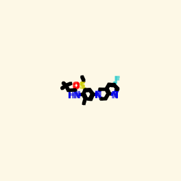 CCSc1cc(N2CCc3ncc(F)cc3C2)cc(C)c1NC(=O)CC(C)(C)C